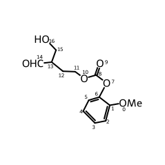 COc1ccccc1OC(=O)OCCC(C=O)CO